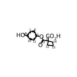 O=C(O)C1(C(=O)Oc2ccc(O)cc2)CCC1